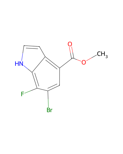 COC(=O)c1cc(Br)c(F)c2[nH]ccc12